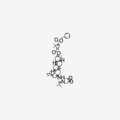 CC(C)[C@H](CN[C@]12CC[C@@H](C3(C)CC3)C1[C@H]1CC[C@@H]3[C@@]4(C)CC[C@H](OC(=O)[C@H]5C[C@@H](C(=O)OCc6ccccc6)C5(C)C)C(C)(C)[C@@H]4CC[C@@]3(C)[C@]1(C)CC2)N1CCS(=O)(=O)CC1